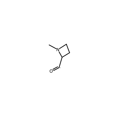 CN1CCC1[C]=O